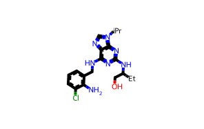 CCC(CO)Nc1nc(NCc2cccc(Cl)c2N)c2ncn(C(C)C)c2n1